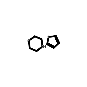 C1COCCN1.c1ccsc1